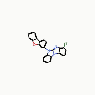 Clc1cccc2c1nc1n(-c3ccc4c(c3)oc3ccccc34)c3ccccc3n21